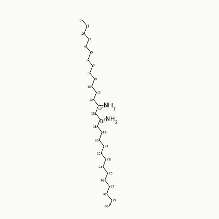 CCCCCCCCCCCCCC(N)[CH]C(N)CCCCCCCCCCCCC